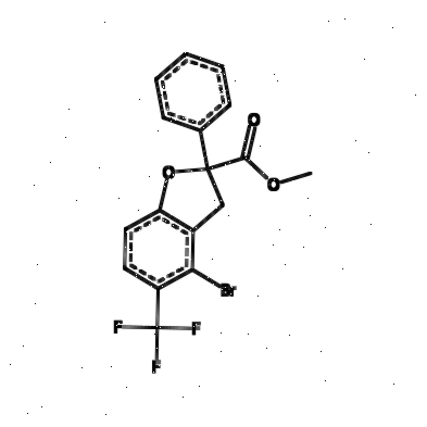 COC(=O)C1(c2ccccc2)Cc2c(ccc(C(F)(F)F)c2Br)O1